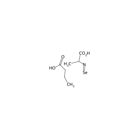 CC(N=[Se])C(=O)O.CCCC(=O)O